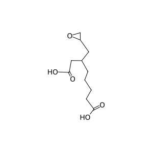 O=C(O)CCCCC(CC(=O)O)CC1CO1